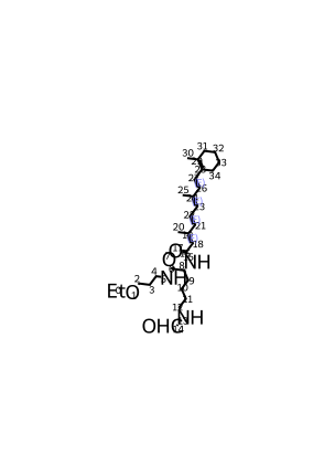 CCOCCCNC(=O)C(CCCCNC=O)NC(=O)/C=C(C)/C=C/C=C(C)/C=C/C1=C(C)CCCC1